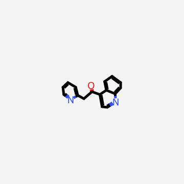 O=C(Cc1ccccn1)c1ccnc2ccccc12